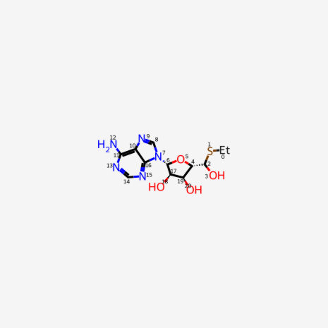 CCSC(O)[C@H]1O[C@@H](n2cnc3c(N)ncnc32)[C@H](O)[C@@H]1O